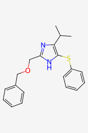 CC(C)c1nc(COCc2ccccc2)[nH]c1Sc1ccccc1